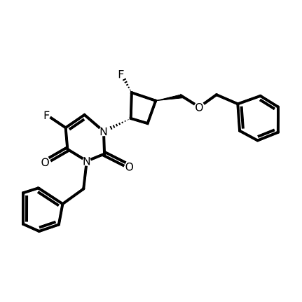 O=c1c(F)cn([C@H]2C[C@H](COCc3ccccc3)[C@H]2F)c(=O)n1Cc1ccccc1